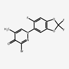 Cc1cn(-c2cc3c(cc2F)OC(F)(F)O3)nc(Br)c1=O